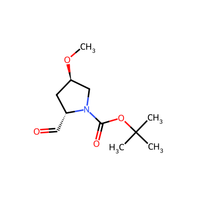 CO[C@@H]1C[C@@H](C=O)N(C(=O)OC(C)(C)C)C1